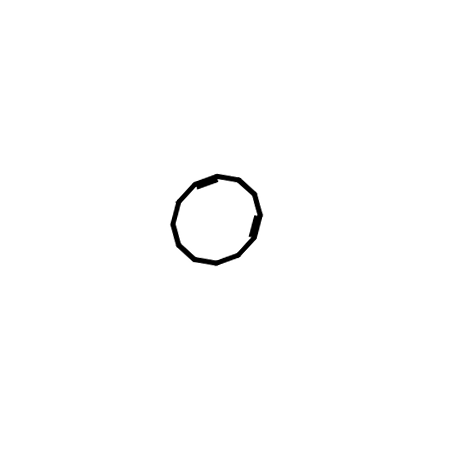 [CH]1/C=C\CC/C=C\CCCCC1